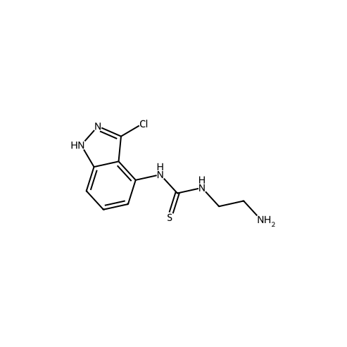 NCCNC(=S)Nc1cccc2[nH]nc(Cl)c12